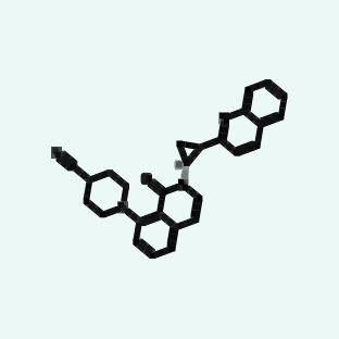 N#CC1CCN(c2cccc3ccn([C@@H]4CC4c4ccc5ccccc5n4)c(=O)c23)CC1